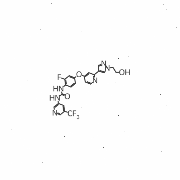 O=C(Nc1cncc(C(F)(F)F)c1)Nc1ccc(Oc2ccnc(-c3cnn(CCO)c3)c2)cc1F